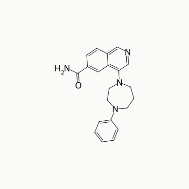 NC(=O)c1ccc2cncc(N3CCCN(c4ccccc4)CC3)c2c1